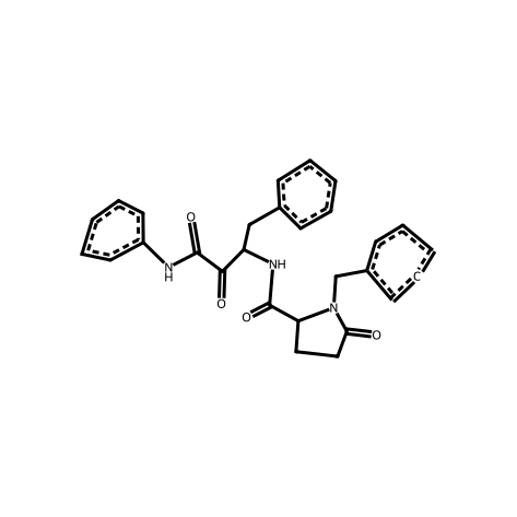 O=C(Nc1ccccc1)C(=O)C(Cc1ccccc1)NC(=O)C1CCC(=O)N1Cc1ccccc1